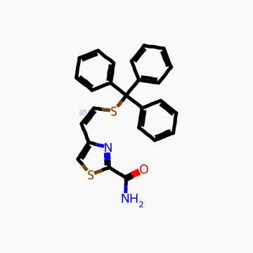 NC(=O)c1nc(/C=C\SC(c2ccccc2)(c2ccccc2)c2ccccc2)cs1